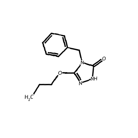 CCCOc1n[nH]c(=O)n1Cc1ccccc1